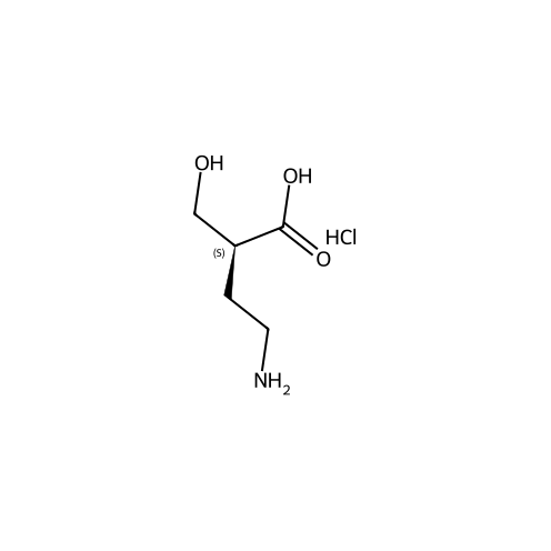 Cl.NCC[C@@H](CO)C(=O)O